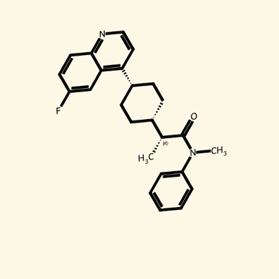 C[C@@H](C(=O)N(C)c1ccccc1)[C@H]1CC[C@@H](c2ccnc3ccc(F)cc32)CC1